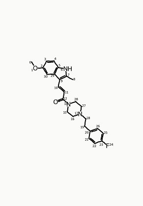 COc1ccc2[nH]c(C)c(C=CC(=O)N3CCN(CCc4ccc(F)cc4)CC3)c2c1